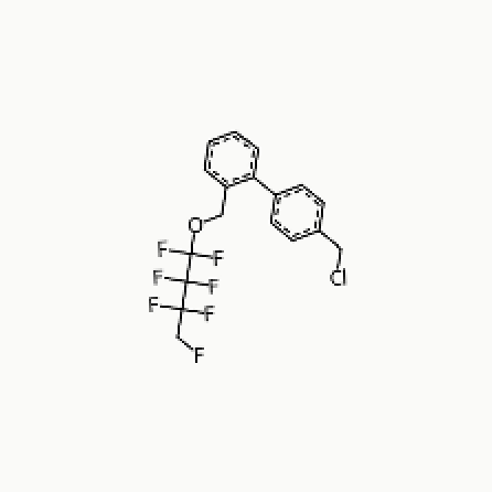 FCC(F)(F)C(F)(F)C(F)(F)OCc1ccccc1-c1ccc(CCl)cc1